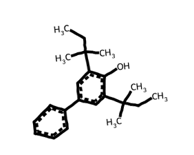 CCC(C)(C)c1cc(-c2ccccc2)cc(C(C)(C)CC)c1O